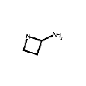 NC1CC[N]1